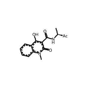 CC(=O)[C@H](C)NC(=O)c1c(O)c2ccccc2n(C)c1=O